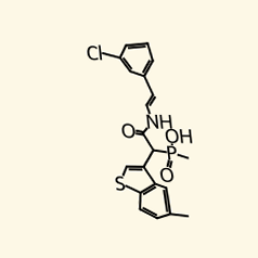 Cc1ccc2scc(C(C(=O)N/C=C/c3cccc(Cl)c3)P(C)(=O)O)c2c1